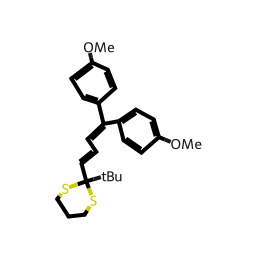 COc1ccc(C(=CC=CC2(C(C)(C)C)SCCCS2)c2ccc(OC)cc2)cc1